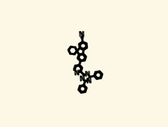 N#Cc1ccc2c(c1)C1(CCCCC1)c1cc(-c3ccnc(-c4nc(-c5ccccc5)nc(-c5ccccc5)n4)c3)ccc1-2